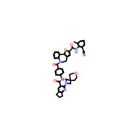 Cc1cccc(C#N)c1NC(=O)c1cc2c(s1)-c1ccccc1N(C(=O)c1ccc(NC(=O)c3cc4c(nc3N3CC5(CCOCC5)C3)CCC4)cc1)CC2